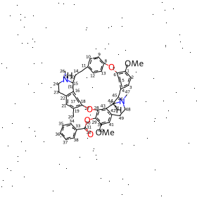 COc1ccc2cc1Oc1ccc(cc1)C[C@H]1c3cc(c(C)cc3CCN1C)Oc1c(OC(=O)c3ccccc3)c(OC)cc3c1[C@H](C2)N(C)CC3